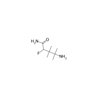 CC(C)(N)C(C)(C)C(F)C(N)=O